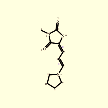 CN1C(=O)/C(=C\C=C\N2CCCC2)SC1=S